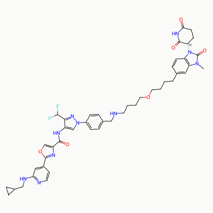 Cn1c(=O)n([C@H]2CCC(=O)NC2=O)c2ccc(CCCCOCCCCNCc3ccc(-n4cc(NC(=O)c5coc(-c6ccnc(NCC7CC7)c6)n5)c(C(F)F)n4)cc3)cc21